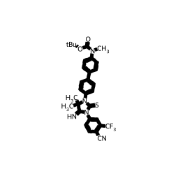 CN(C(=O)OC(C)(C)C)c1ccc(-c2ccc(N3C(=S)N(c4ccc(C#N)c(C(F)(F)F)c4)C(=N)C3(C)C)cc2)cc1